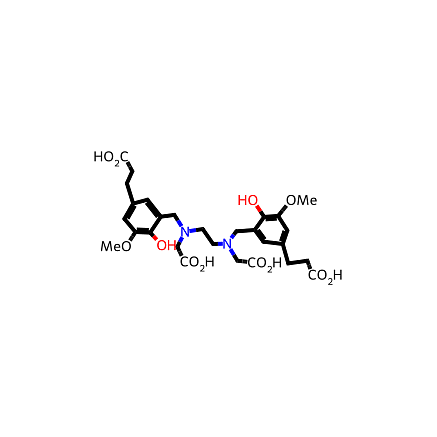 COc1cc(CCC(=O)O)cc(CN(CCN(CC(=O)O)Cc2cc(CCC(=O)O)cc(OC)c2O)CC(=O)O)c1O